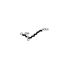 CCCCCCCCC=CCCCCCCCC(=O)OCC(O)CCl